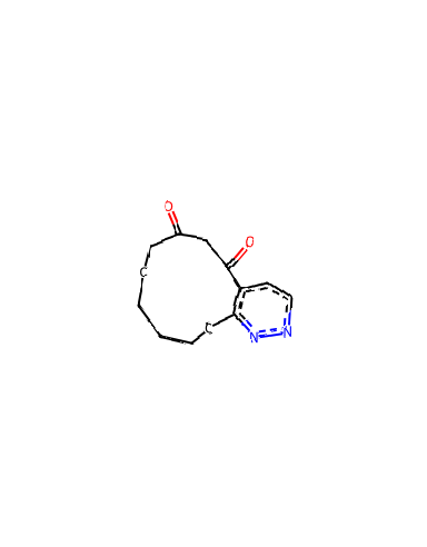 O=C1CCCCCCc2nnccc2C(=O)C1